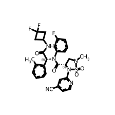 Cc1ccccc1[C@H](C(=O)NC1CC(F)(F)C1)N(C(=O)[C@@H]1CN(C)S(=O)(=O)N1c1cc(C#N)ccn1)c1cccc(F)c1